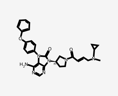 CN(CC=CC(=O)N1CC[C@@H](n2c(=O)n(-c3ccc(Oc4ccccc4)cc3)c3c(N)ncnc32)C1)C1CC1